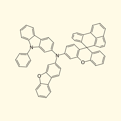 c1ccc(-n2c3ccccc3c3ccc(N(c4ccc5c(c4)Oc4ccccc4C54c5ccccc5-c5cccc6cccc4c56)c4ccc5c(c4)oc4ccccc45)cc32)cc1